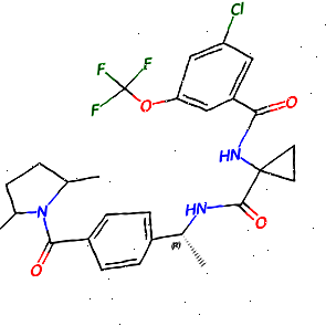 CC1CCC(C)N1C(=O)c1ccc([C@@H](C)NC(=O)C2(NC(=O)c3cc(Cl)cc(OC(F)(F)F)c3)CC2)cc1